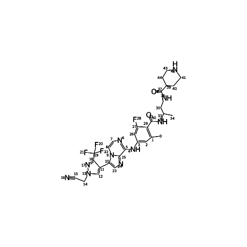 Cc1cc(Nc2nccn3c(-c4cn(CC#N)nc4C(F)(F)F)cnc23)cc(F)c1C(=O)NC(C)CNC(=O)C1CCNCC1